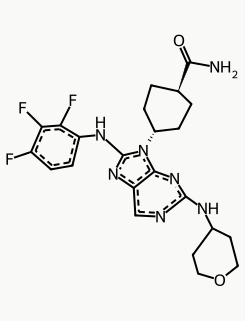 NC(=O)[C@H]1CC[C@H](n2c(Nc3ccc(F)c(F)c3F)nc3cnc(NC4CCOCC4)nc32)CC1